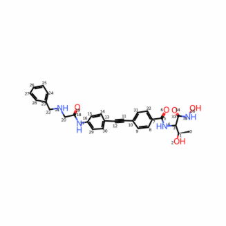 C[C@@H](O)C(NC(=O)c1ccc(C#Cc2ccc(NC(=O)CNCc3ccccc3)cc2)cc1)C(=O)NO